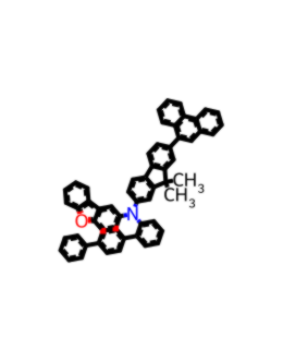 CC1(C)c2cc(-c3cc4ccccc4c4ccccc34)ccc2-c2ccc(N(c3ccc4oc5ccccc5c4c3)c3ccccc3-c3ccc(-c4ccccc4)cc3)cc21